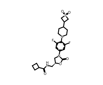 O=C(NC[C@H]1CN(c2cc(F)c(N3CCC(C4CS(=O)(=O)C4)CC3)c(F)c2)C(=O)O1)C1CCC1